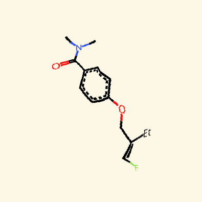 CC/C(=C\F)COc1ccc(C(=O)N(C)C)cc1